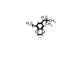 COc1cc(CC(C)(C)C)cc2c1OCCO2